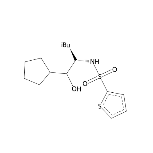 CC[C@H](C)[C@H](NS(=O)(=O)c1cccs1)C(O)C1CCCC1